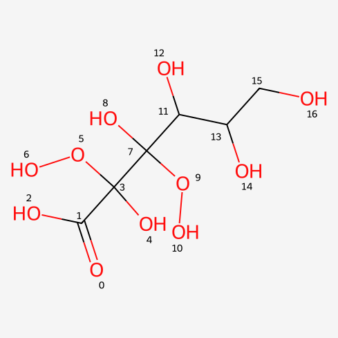 O=C(O)C(O)(OO)C(O)(OO)C(O)C(O)CO